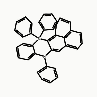 C1=Cc2cccc3cc4c(c(c23)C1)[Si](c1ccccc1)(c1ccccc1)c1ccccc1N4c1ccccc1